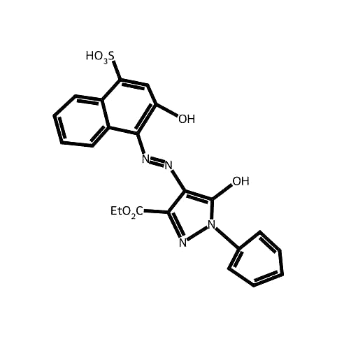 CCOC(=O)c1nn(-c2ccccc2)c(O)c1N=Nc1c(O)cc(S(=O)(=O)O)c2ccccc12